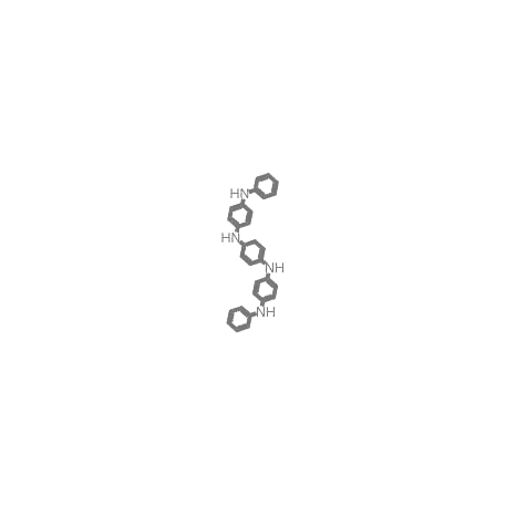 C1=CC(Nc2ccc(Nc3ccccc3)cc2)CC=C1Nc1ccc(Nc2ccccc2)cc1